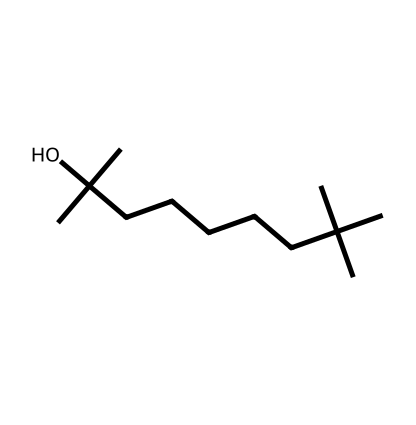 CC(C)(C)CCCCCC(C)(C)O